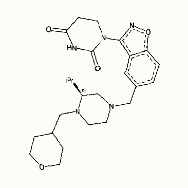 CC(C)[C@H]1CN(Cc2ccc3onc(N4CCC(=O)NC4=O)c3c2)CCN1CC1CCOCC1